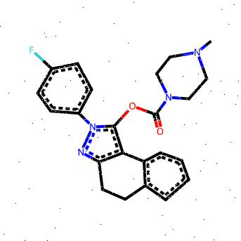 CN1CCN(C(=O)Oc2c3c(nn2-c2ccc(F)cc2)CCc2ccccc2-3)CC1